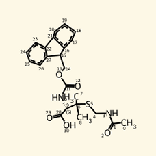 CC(=O)NCSC(C)(C)[C@@H](NC(=O)OCC1c2ccccc2-c2ccccc21)C(=O)O